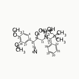 COc1ccc(C(C#N)C(=O)CN(C(=O)O)C(c2ccccc2)C(C)(C)C)cc1OC